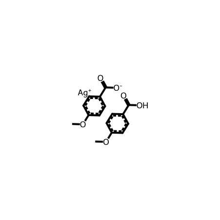 COc1ccc(C(=O)O)cc1.COc1ccc(C(=O)[O-])cc1.[Ag+]